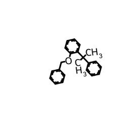 CC(C)(c1ccccc1)c1ccccc1OCc1ccccc1